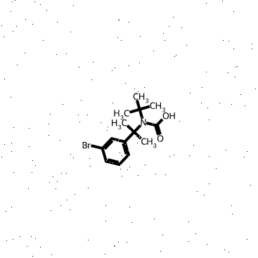 CC(C)(C)N(C(=O)O)C(C)(C)c1cccc(Br)c1